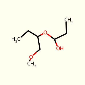 CCC(O)OC(CC)COC